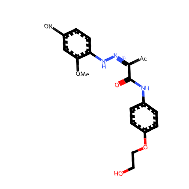 COc1cc(N=O)ccc1N/N=C(/C(C)=O)C(=O)Nc1ccc(OCCO)cc1